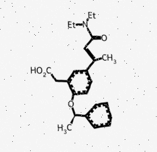 CCN(CC)C(=O)C=C(C)c1ccc(O[C@H](C)c2ccccc2)c(CC(=O)O)c1